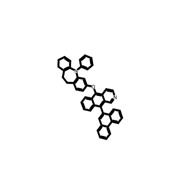 C1=CC2=C(CC1)CCc1ccc(Oc3c4ccccc4c(-c4cc5ccccc5c5ccccc45)c4cnccc34)cc1N2c1ccccc1